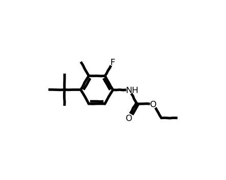 CCOC(=O)Nc1ccc(C(C)(C)C)c(C)c1F